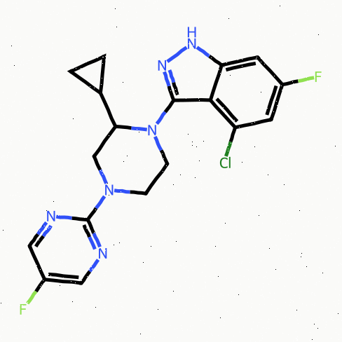 Fc1cnc(N2CCN(c3n[nH]c4cc(F)cc(Cl)c34)C(C3CC3)C2)nc1